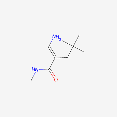 CNC(=O)C(=CN)CC(C)(C)C